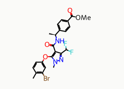 COC(=O)c1ccc([C@H](C)NC(=O)c2c(C(F)F)nn(C)c2Oc2ccc(C)c(Br)c2)cc1